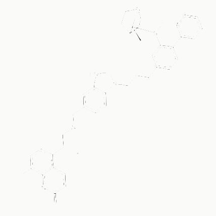 O=C(O)N(c1cc(CCCN2ONc3cc(CNC[C@H](O)c4ccc(O)c5[nH]c(=O)ccc45)ccc32)ccc1-c1ccccc1)[C@H]1CN2CCC1CC2